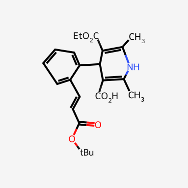 CCOC(=O)C1=C(C)NC(C)=C(C(=O)O)C1c1ccccc1/C=C/C(=O)OC(C)(C)C